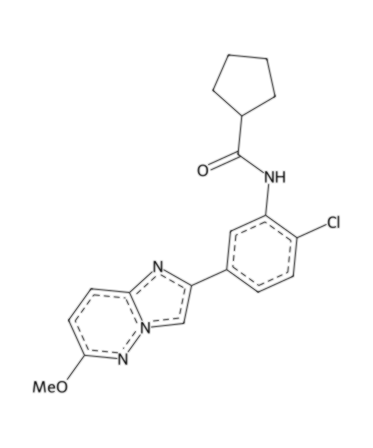 COc1ccc2nc(-c3ccc(Cl)c(NC(=O)C4CCCC4)c3)cn2n1